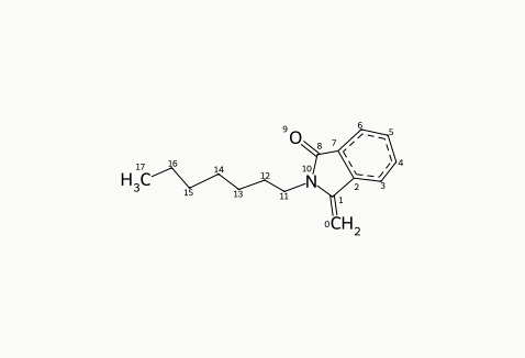 C=C1c2ccccc2C(=O)N1CCCCCCC